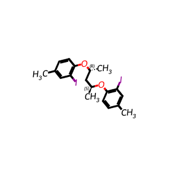 Cc1ccc(O[C@H](C)C[C@H](C)Oc2ccc(C)cc2I)c(I)c1